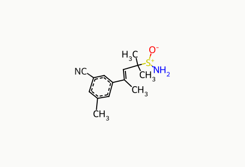 CC(=CC(C)(C)[S+](N)[O-])c1cc(C)cc(C#N)c1